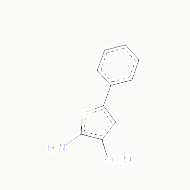 CCOC(=O)c1cc(-c2ccccc2)sc1N